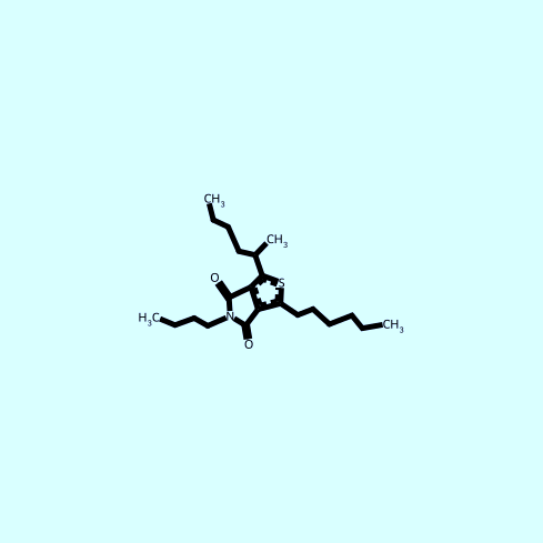 CCCCCCc1sc(C(C)CCCC)c2c1C(=O)N(CCCC)C2=O